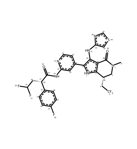 CN1C[C@H](CC(F)(F)F)c2[nH]c(-c3ccnc(NC(=O)[C@@H](CC(F)F)c4ccc(F)cc4)c3)c(Nc3cscn3)c2C1=O